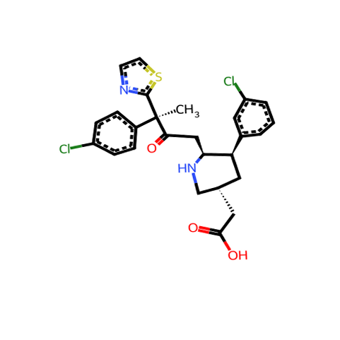 C[C@](C(=O)C[C@@H]1NC[C@@H](CC(=O)O)C[C@@H]1c1cccc(Cl)c1)(c1ccc(Cl)cc1)c1nccs1